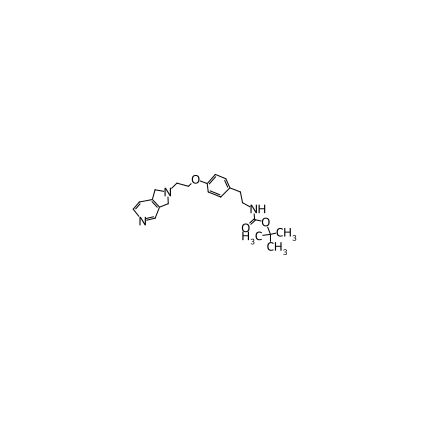 CC(C)(C)OC(=O)NCCc1ccc(OCCN2Cc3ccncc3C2)cc1